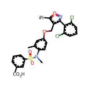 Cc1cc(OCc2c(-c3c(Cl)cccc3Cl)noc2C(C)C)ccc1N(C)S(=O)(=O)c1cccc(C(=O)O)c1